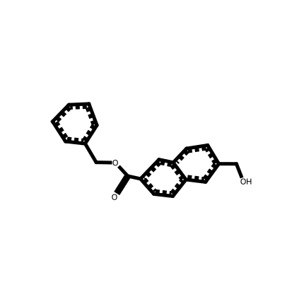 O=C(OCc1ccccc1)c1ccc2cc(CO)ccc2c1